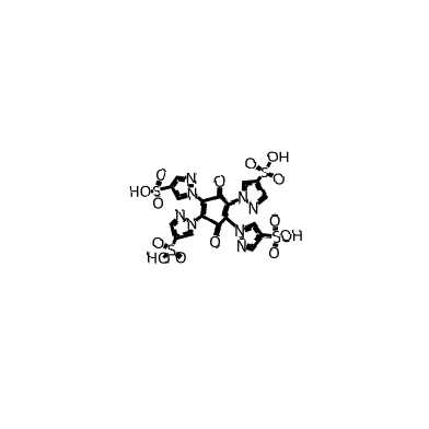 O=C1C(n2cc(S(=O)(=O)O)cn2)=C(n2cc(S(=O)(=O)O)cn2)C(=O)C(n2cc(S(=O)(=O)O)cn2)=C1n1cc(S(=O)(=O)O)cn1